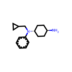 N[C@H]1CC[C@H](N(CC2CC2)c2ccccc2)CC1